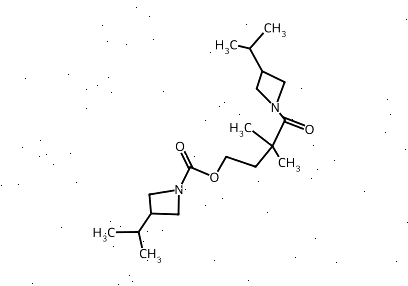 CC(C)C1CN(C(=O)OCCC(C)(C)C(=O)N2CC(C(C)C)C2)C1